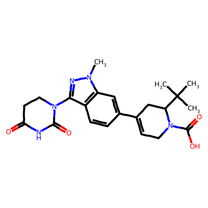 Cn1nc(N2CCC(=O)NC2=O)c2ccc(C3=CCN(C(=O)O)C(C(C)(C)C)C3)cc21